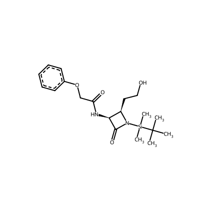 CC(C)(C)[Si](C)(C)N1C(=O)[C@@H](NC(=O)COc2ccccc2)[C@H]1CCO